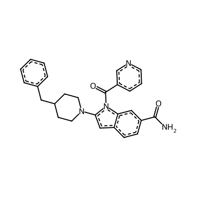 NC(=O)c1ccc2cc(N3CCC(Cc4ccccc4)CC3)n(C(=O)c3cccnc3)c2c1